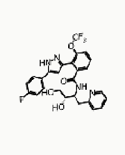 O=C(N[C@@H](Cc1ccccn1)[C@H](O)CO)c1cccc(OC(F)(F)F)c1-c1cc(-c2ccc(F)cc2)[nH]n1